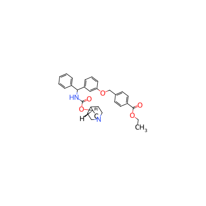 CCOC(=O)c1ccc(COc2cccc(C(NC(=O)O[C@H]3CN4CCC3CC4)c3ccccc3)c2)cc1